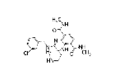 CNC(=O)c1ccc(C(=O)NC)c2c1N=C(NCc1cccc(Cl)c1)C1(CCNCC1)N2